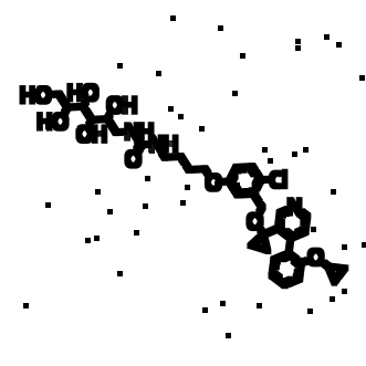 O=C(NCCCCOc1ccc(Cl)c(COC2(c3cnccc3-c3ccccc3OC3CC3)CC2)c1)NCC(O)C(O)C(O)C(O)CO